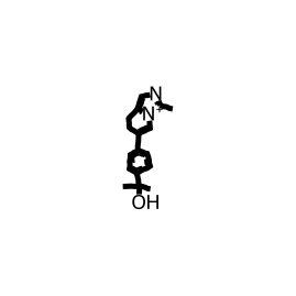 CC1=NC=C2CCC(c3ccc(C(C)(C)O)cc3)=C[N+]21